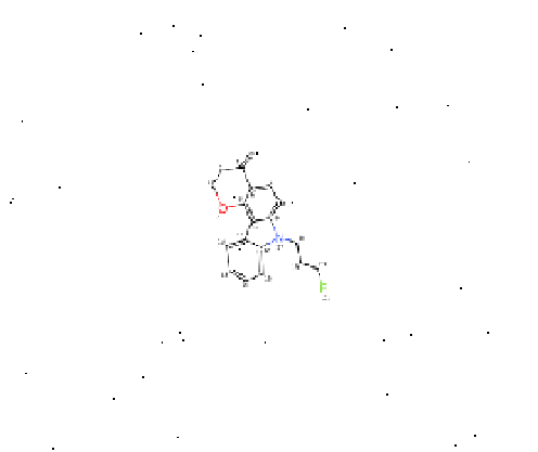 C=C1CCOc2c1ccc1c2c2ccccc2n1CCCF